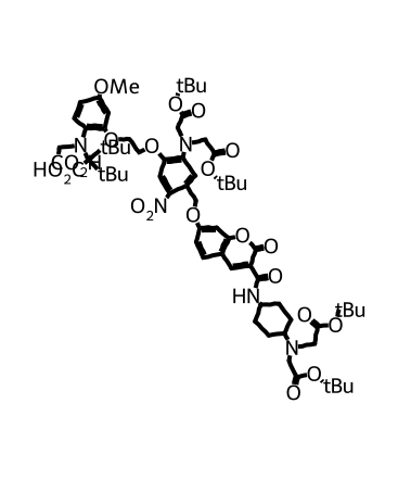 COc1ccc(N(CC(=O)O)C(C(=O)O)(C(C)(C)C)C(C)(C)C)c(OCCOc2cc([N+](=O)[O-])c(COc3ccc4cc(C(=O)NC5CCC(N(CC(=O)OC(C)(C)C)CC(=O)OC(C)(C)C)CC5)c(=O)oc4c3)cc2N(CC(=O)OC(C)(C)C)CC(=O)OC(C)(C)C)c1